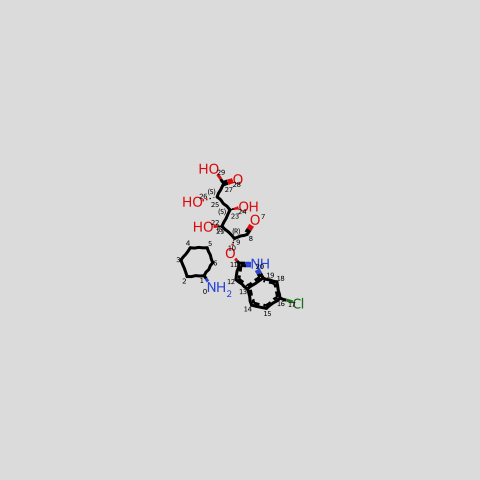 NC1CCCCC1.O=C[C@H](Oc1cc2ccc(Cl)cc2[nH]1)[C@@H](O)[C@H](O)[C@H](O)C(=O)O